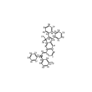 C/C=C\c1cc2c(cc1/C=C/N(c1ccccc1)c1cccc(C)c1)C(C)(C)c1c-2c2ccccc2c2ccccc12